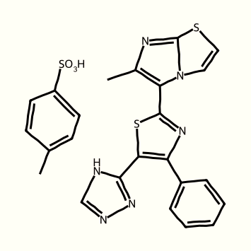 Cc1ccc(S(=O)(=O)O)cc1.Cc1nc2sccn2c1-c1nc(-c2ccccc2)c(-c2nnc[nH]2)s1